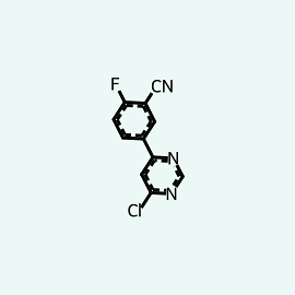 N#Cc1cc(-c2cc(Cl)ncn2)ccc1F